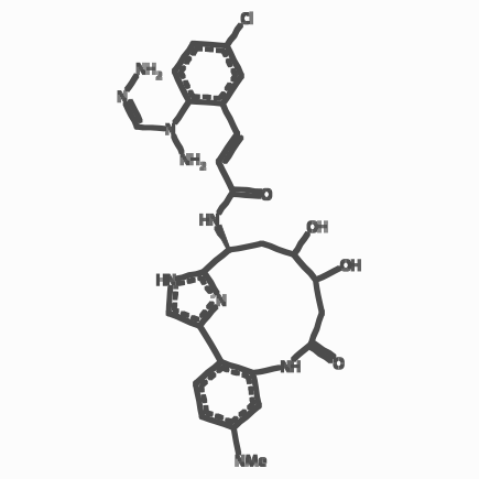 CNc1ccc2c(c1)NC(=O)CC(O)C(O)C[C@H](NC(=O)/C=C/c1cc(Cl)ccc1N(N)/C=N\N)c1nc-2c[nH]1